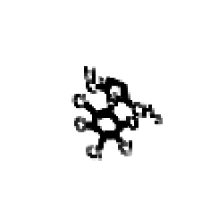 Cc1ccc(C)n1C1=C(Cl)C(=O)C(Cl)=C(Cl)C1=O